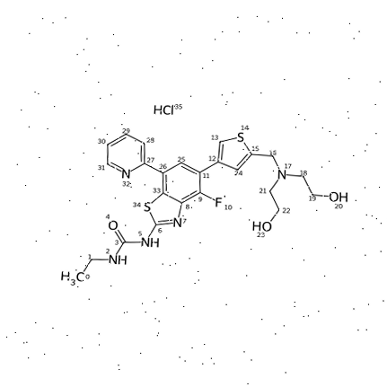 CCNC(=O)Nc1nc2c(F)c(-c3csc(CN(CCO)CCO)c3)cc(-c3ccccn3)c2s1.Cl